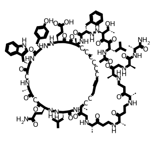 CC(=O)N[C@@H](CC(C)C)C(=O)C(=O)[C@@H](NN[C@@H](Cc1ccccc1)C(=O)N[C@]1(C)CCCCCC/C=C/CCC[C@@](C)(C(=O)CN[C@@H](C)C(=O)CCN[C@@H](C)C(=O)CCN[C@@H](C)C(=O)CCN[C@@H](C)C(=O)CN[C@H](C)C(=O)N[C@H](C)C(N)=O)NC(=O)[C@H](CC(C)C)NN[C@@H](CCC(N)=O)C(=O)CC(=O)[C@H](C)NCC(=O)[C@H](Cc2c[nH]c3ccccc23)NC(=O)[C@H](Cc2ccc(O)cc2)NN[C@@H](CCC(=O)O)C(=O)C1=O)[C@@H](C)O